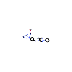 c1c[nH]c(CN(Cc2ccc(CN3CCC4(CCN(C5CCCCC5)CC4)C3)cc2)Cc2ncco2)n1